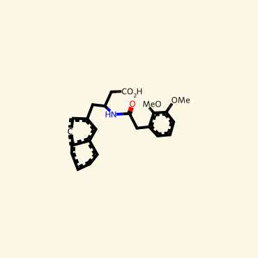 COc1cccc(CC(=O)NC(CC(=O)O)Cc2ccc3ccccc3c2)c1OC